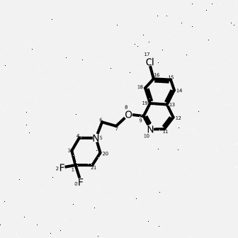 FC1(F)CCN(CCOc2nccc3ccc(Cl)cc23)CC1